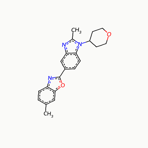 Cc1ccc2nc(-c3ccc4c(c3)nc(C)n4C3CCOCC3)oc2c1